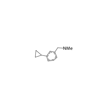 CNCc1cccc(C2CC2)c1